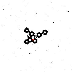 c1ccc(-c2ccc(N(c3ccccc3)c3ccc(-c4ccccc4)c4sc5c6ccccc6ccc5c34)cc2)cc1